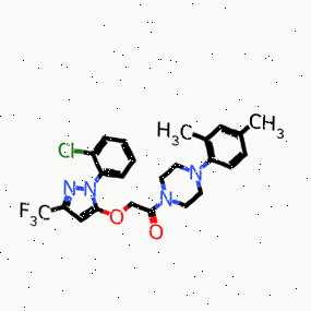 Cc1ccc(N2CCN(C(=O)COc3cc(C(F)(F)F)nn3-c3ccccc3Cl)CC2)c(C)c1